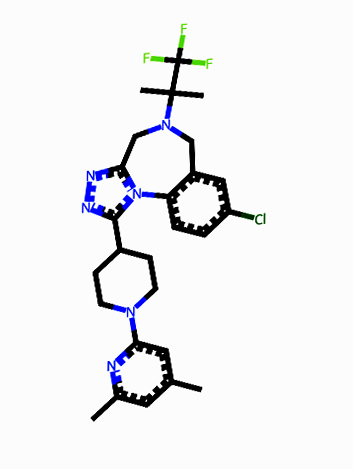 Cc1cc(C)nc(N2CCC(c3nnc4n3-c3ccc(Cl)cc3CN(C(C)(C)C(F)(F)F)C4)CC2)c1